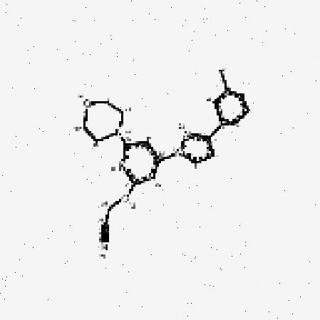 Cc1cccc(-c2ccn(-c3cc(N4CCOCC4)nc(OCC#N)n3)n2)c1